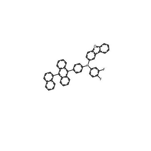 Fc1ccc(N(c2ccc(-c3c4ccccc4c(-c4cccc5ccccc45)c4ccccc34)cc2)c2ccc3oc4ccccc4c3c2)cc1F